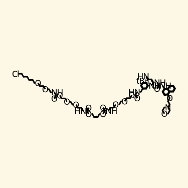 CC(C)(C)C(=N)/C=C(/NC(=O)Nc1ccc(OCCN2CCOCC2)c2ccccc12)Nc1cccc(CNC(=O)OCCOCCOCCNC(=O)OC/C=C\COC(=O)NCCOCCOCCOC(=O)NCCOCCOCCCCCCCl)c1